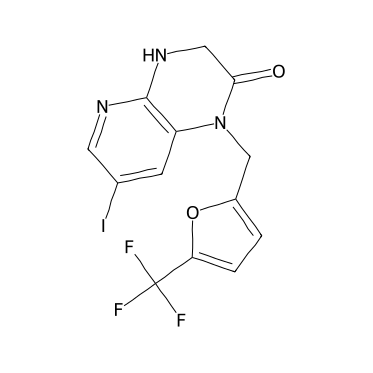 O=C1CNc2ncc(I)cc2N1Cc1ccc(C(F)(F)F)o1